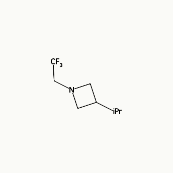 CC(C)C1CN(CC(F)(F)F)C1